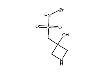 CC(C)NS(=O)(=O)CC1(O)CNC1